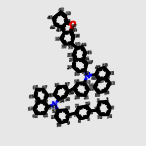 c1ccc(-c2ccc(-c3cccc(N(c4cccc(-c5cccc(N(c6ccc7cc(-c8ccc9c(c8)oc8ccccc89)ccc7c6)c6cccc7ccccc67)c5)c4)c4cccc5ccccc45)c3)cc2)cc1